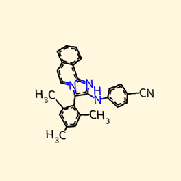 Cc1cc(C)c(-c2c(Nc3ccc(C#N)cc3)nc3c4ccccc4ccn23)c(C)c1